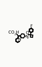 CN(C(=O)C1(c2ccc(F)cc2)CCC1)[C@@H]1CCc2c(CC(=O)O)c3ccccn3c2C1